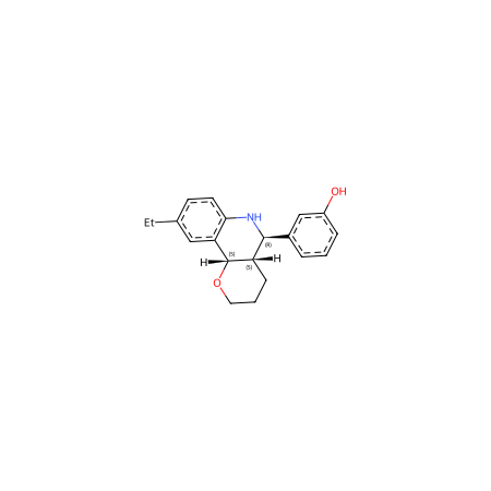 CCc1ccc2c(c1)[C@H]1OCCC[C@H]1[C@H](c1cccc(O)c1)N2